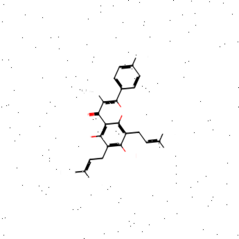 COc1c(-c2ccc(C)cc2)oc2c(CC=C(C)C)c(O)c(CC=C(C)C)c(O)c2c1=O